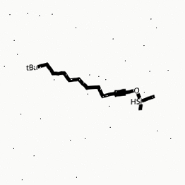 C[SiH](C)OC#CCCCCCCCCC(C)(C)C